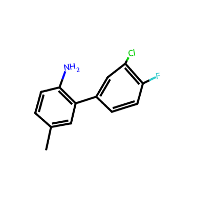 Cc1ccc(N)c(-c2ccc(F)c(Cl)c2)c1